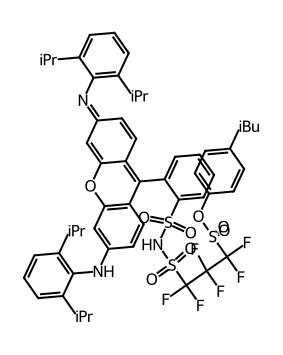 CCC(C)c1ccc(OS(=O)(=O)C(F)(F)C(F)(F)C(F)(F)S(=O)(=O)NS(=O)(=O)c2ccccc2-c2c3cc/c(=N\c4c(C(C)C)cccc4C(C)C)cc-3oc3cc(Nc4c(C(C)C)cccc4C(C)C)ccc23)cc1